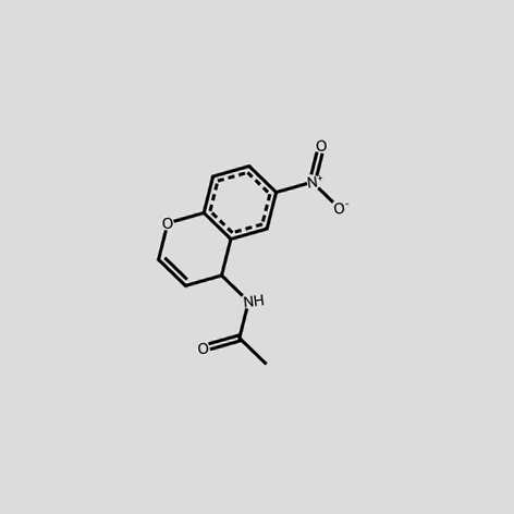 CC(=O)NC1C=COc2ccc([N+](=O)[O-])cc21